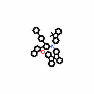 CC1(C)c2ccccc2-c2ccc(N(c3ccc4c(c3)C3(c5ccccc5-c5ccccc53)c3ccccc3-4)c3cc(-c4ccc(-c5ccccc5)cc4)c4c(c3)oc3c5ccccc5ccc34)cc21